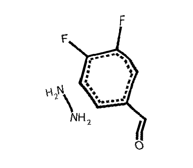 NN.O=Cc1ccc(F)c(F)c1